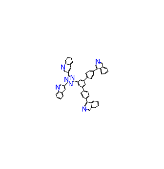 c1ccc2ncc(-c3nc(-c4cc(-c5ccc(-c6cncc7ccccc67)cc5)cc(-c5ccc(-c6cncc7ccccc67)cc5)c4)nc(-c4cnc5ccccc5c4)n3)cc2c1